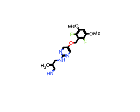 C=C(C=N)CNc1ncc(OCc2c(F)c(OC)cc(OC)c2F)cn1